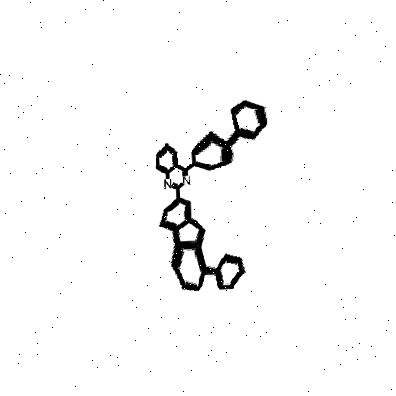 c1ccc(-c2ccc(-c3nc(-c4ccc5c(c4)Cc4c(-c6ccccc6)cccc4-5)nc4ccccc34)cc2)cc1